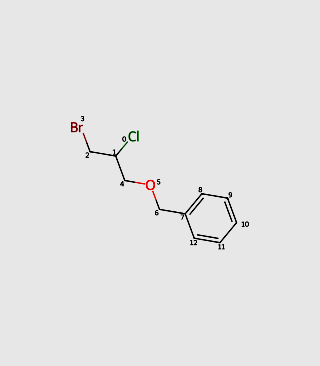 ClC(CBr)COCc1ccccc1